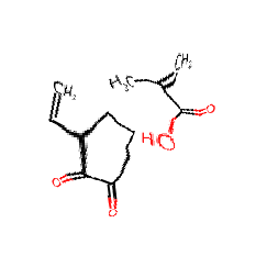 C=C(C)C(=O)O.C=CC1CCCC(=O)C1=O